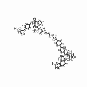 Cc1ncsc1-c1ccc(CNC(=O)C2CCCN2C(=O)C(NC(=O)COCCCCNc2ccc(-c3ccc(N(C(=S)N(C)c4ccc(C#N)c(C(F)(F)F)c4F)C(C)(C)C=O)cn3)cc2)C(C)(C)C)cc1